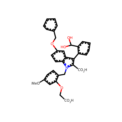 COc1ccc(Cn2c(C(=O)O)c(-c3ccccc3C(O)O)c3cc(OCc4ccccc4)ccc32)c(OCC(=O)O)c1